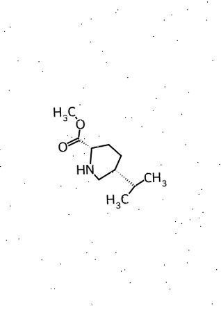 COC(=O)[C@@H]1CC[C@H](C(C)C)CN1